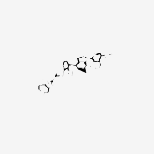 COCc1cc(N2CCc3c(-c4cccc(NC(=O)c5nc6c(n5C)CCN(C)C6)c4Cl)cccc32)ncc1C=O